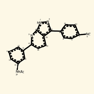 [C-]#[N+]c1ccc(-c2n[nH]c3nc(-c4cccc(NC(C)=O)c4)ccc23)cc1